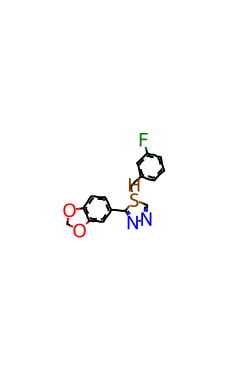 Fc1cccc(C[SH]2C=NN=C2c2ccc3c(c2)OCO3)c1